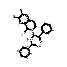 Cc1cc2ccn(C(NC(=O)c3ccccc3)C(=O)c3ccccc3)c(=O)c2nc1C